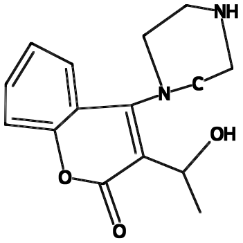 CC(O)c1c(N2CCNCC2)c2ccccc2oc1=O